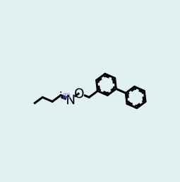 CCC/[C]=N/OCc1cccc(-c2ccccc2)c1